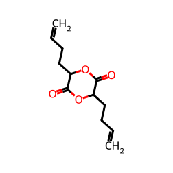 C=CCCC1OC(=O)C(CCC=C)OC1=O